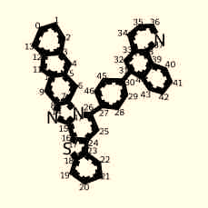 c1ccc2cc3cc4c(cc3cc2c1)nc1c2sc3ccccc3c2cc(-c2ccc(-c3cc5cccnc5c5ccccc35)cc2)n41